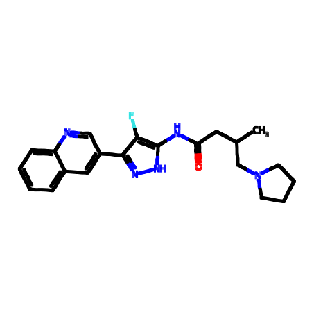 CC(CC(=O)Nc1[nH]nc(-c2cnc3ccccc3c2)c1F)CN1CCCC1